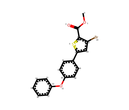 COC(=O)c1sc(-c2ccc(Oc3ccccc3)cc2)cc1Br